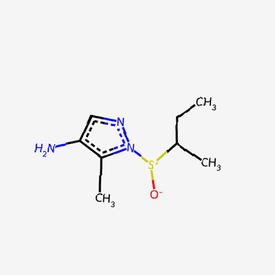 CCC(C)[S+]([O-])n1ncc(N)c1C